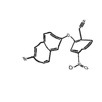 N#Cc1ccc([N+](=O)[O-])cc1Oc1ccc2cc(Br)ccc2c1